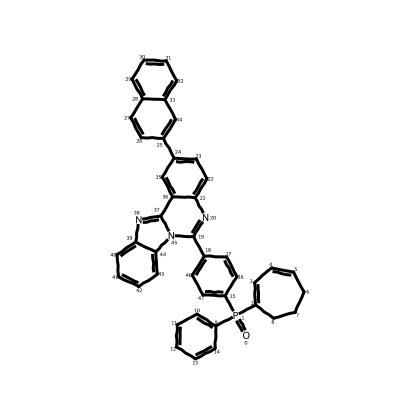 O=P(C1=CC=CCCC1)(c1ccccc1)c1ccc(-c2nc3ccc(-c4ccc5ccccc5c4)cc3c3nc4ccccc4n23)cc1